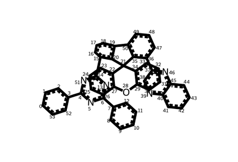 c1ccc(-c2nc(-c3ccccc3)nc(-c3cccc4c3C3(c5ccccc5Oc5ccccc53)c3c(-c5cnc6ccccc6n5)cccc3-4)n2)cc1